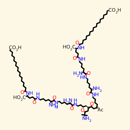 CC(=O)[C@H](CCCCNC(=O)[C@@H](N)CCCCNC(=O)[C@@H](N)CCCCNC(=O)CCC(NC(=O)CCCCCCCCCCCCCCCCC(=O)O)C(=O)O)CC(=O)[C@H](CCCCNC(=O)[C@@H](N)CCCCNC(=O)[C@@H](N)CCCCNC(=O)CC[C@H](NC(=O)CCCCCCCCCCCCCCCCC(=O)O)C(=O)O)CC(=O)C(C)(C)N